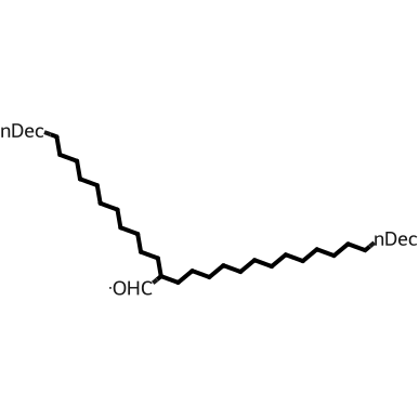 CCCCCCCCCCCCCCCCCCCCCCCC([C]=O)CCCCCCCCCCCCCCCCCCCCC